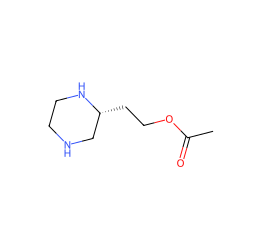 CC(=O)OCC[C@@H]1CNCCN1